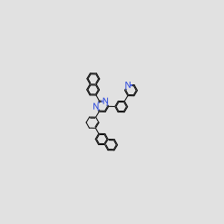 C1=C(c2ccc3ccccc3c2)CCC=C1c1cc(-c2cccc(-c3cccnc3)c2)nc(-c2ccc3ccccc3c2)n1